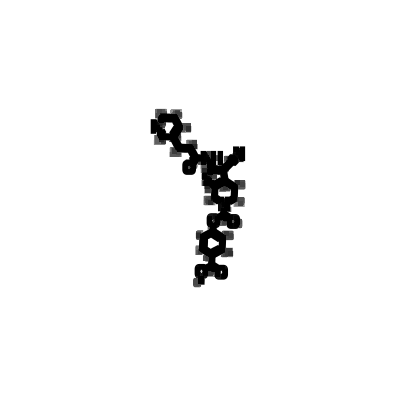 COC(=O)c1ccc(OC(=O)N2CCc3c(sc(NC(=O)C=Cc4cccnc4)c3C#N)C2)cc1